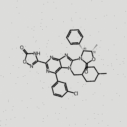 CC1CCC(Cn2c(N3C(=O)O[C@@H](C)[C@H]3c3ccccc3)nc3nc(-c4noc(=O)[nH]4)nc(-c4cccc(Cl)c4)c32)CC1